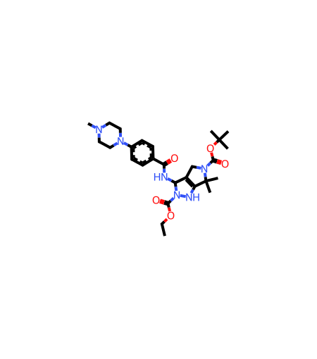 CCOC(=O)N1NC2=C(CN(C(=O)OC(C)(C)C)C2(C)C)C1NC(=O)c1ccc(N2CCN(C)CC2)cc1